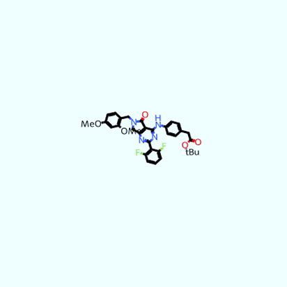 COc1ccc(CN2Cc3nc(-c4c(F)cccc4F)nc(Nc4ccc(CC(=O)OC(C)(C)C)cc4)c3C2=O)c(OC)c1